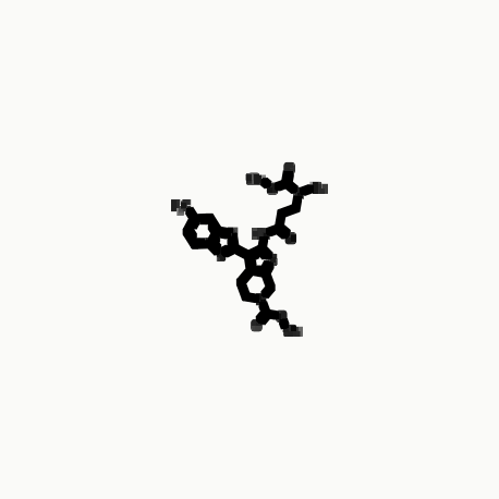 CCC(C)N(CCC(=O)Nc1sc2c(c1-c1nc3cc(C(F)(F)F)ccc3s1)CCN(C(=O)OC(C)(C)C)C2)C(=O)OC(C)(C)C